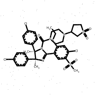 CCOc1cc(Cl)c(S(C)(=O)=O)cc1C1=N[C@@](C)(c2ccc(Cl)cc2)[C@@](C)(c2ccc(Cl)cc2)N1C(=O)N1CCN(C2CCS(=O)(=O)C2)CC1